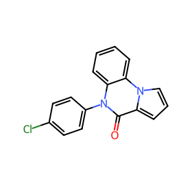 O=c1c2cccn2c2ccccc2n1-c1ccc(Cl)cc1